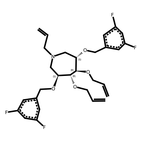 C=CCO[C@H]1[C@H](OCC=C)[C@@H](OCc2cc(F)cc(F)c2)CN(CC=C)C[C@@H]1OCc1cc(F)cc(F)c1